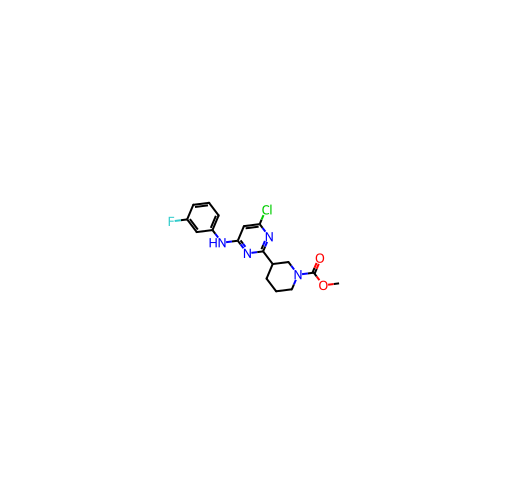 COC(=O)N1CCCC(c2nc(Cl)cc(Nc3cccc(F)c3)n2)C1